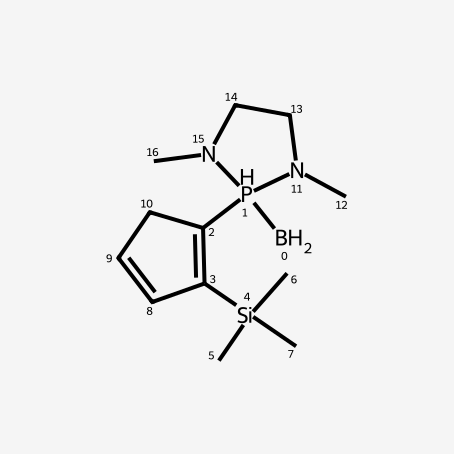 B[PH]1(C2=C([Si](C)(C)C)C=CC2)N(C)CCN1C